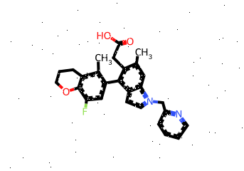 Cc1cc2c(ccn2Cc2ccccn2)c(-c2cc(F)c3c(c2C)CCCO3)c1CC(=O)O